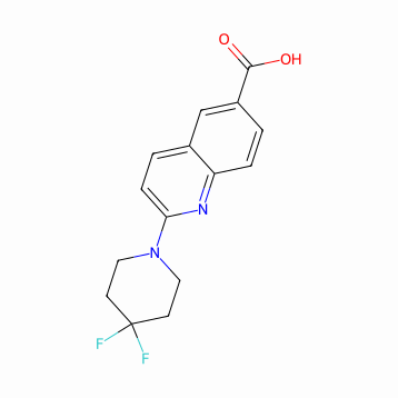 O=C(O)c1ccc2nc(N3CCC(F)(F)CC3)ccc2c1